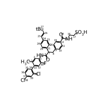 Cc1cc(NC(=O)C(Cc2ccc(C(=O)NCCS(=O)(=O)O)cc2)c2ccc(/C=C/C(C)(C)C)cc2)c(F)cc1-c1ccc(Cl)cc1Cl